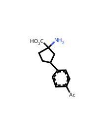 CC(=O)c1ccc(C2CCC(N)(C(=O)O)C2)cc1